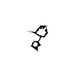 Nc1cnccc1-c1cccs1